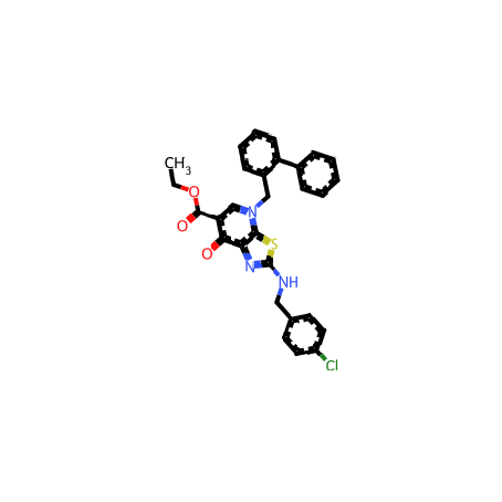 CCOC(=O)c1cn(Cc2ccccc2-c2ccccc2)c2sc(NCc3ccc(Cl)cc3)nc2c1=O